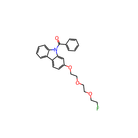 O=C(c1ccccc1)n1c2ccccc2c2ccc(OCCOCCOCCF)cc21